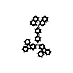 c1ccc2c(c1)-c1ccc(N(c3ccc(-c4ccc(N(c5ccc6ccccc6c5)c5cccc6ccccc56)cc4)cc3)c3ccc4c(c3)C3(CCCCC3)c3ccccc3-4)cc1C21CCCCC1